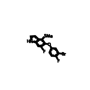 CSc1c(Oc2ccc(F)c(Br)c2)c(F)cc2[nH]ccc12